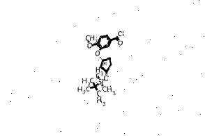 COc1ccc(C(=O)Cl)cc1O[C@@H]1CC[C@@H](O[Si](C)(C)C(C)(C)C)C1